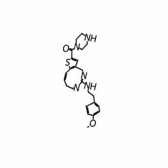 COc1ccc(CCNC2=N/Cc3cc(C(=O)N4CCNCC4)sc3/C=C\C/C=N\2)cc1